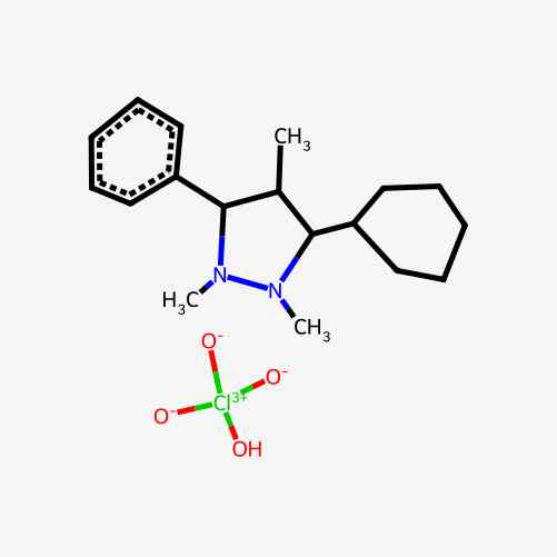 CC1C(c2ccccc2)N(C)N(C)C1C1CCCCC1.[O-][Cl+3]([O-])([O-])O